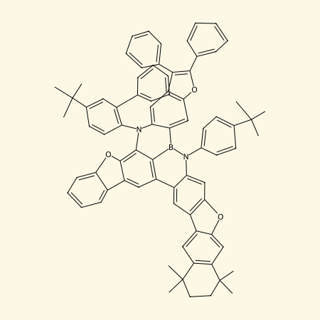 CC(C)(C)c1ccc(N2B3c4cc5oc(-c6ccccc6)c(-c6ccccc6)c5cc4N(c4ccc(C(C)(C)C)cc4-c4ccccc4)c4c3c(cc3c4oc4ccccc43)-c3cc4c(cc32)oc2cc3c(cc24)C(C)(C)CCC3(C)C)cc1